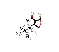 CC(C)(C)[Si](C)(C)C1COC(=S)C1C=O